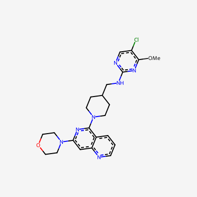 COc1nc(NCC2CCN(c3nc(N4CCOCC4)cc4ncccc34)CC2)ncc1Cl